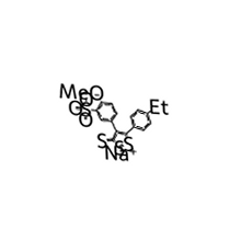 CCc1ccc(-c2ssc(=S)c2-c2ccc(OC)c(S(=O)(=O)[O-])c2)cc1.[Na+]